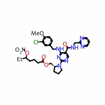 CCC(CCCC(=O)OC[C@@H]1CCCN1c1ncc(C(=O)NCc2ncccn2)c(NCc2ccc(OC)c(Cl)c2)n1)O[N+](=O)[O-]